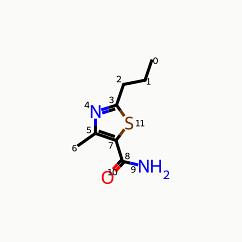 CCCc1nc(C)c(C(N)=O)s1